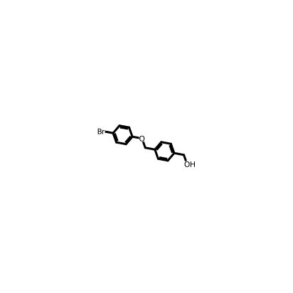 OCc1ccc(COc2ccc(Br)cc2)cc1